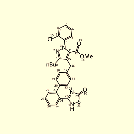 CCCCc1nn(-c2ccccc2Cl)c(C(=O)OC)c1Cc1ccc(-c2ccccc2-c2nc(=O)s[nH]2)cc1